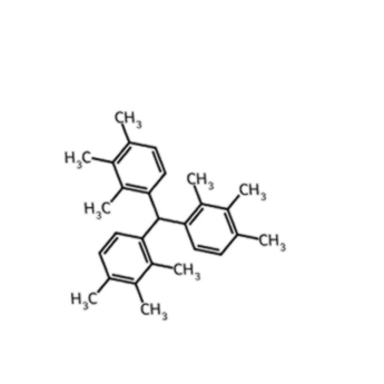 Cc1ccc(C(c2ccc(C)c(C)c2C)c2ccc(C)c(C)c2C)c(C)c1C